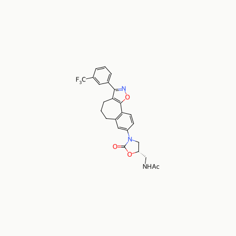 CC(=O)NC[C@H]1CN(c2ccc3c(c2)CCCc2c(-c4cccc(C(F)(F)F)c4)noc2-3)C(=O)O1